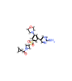 Nc1ncc(-c2cc(N3CCOCC3)cc(S(=O)(=O)C3CN(C(=O)C4CC4)C3)c2)cn1